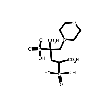 O=C(O)C(CC(CN1CCOCC1)(C(=O)O)P(=O)(O)O)P(=O)(O)O